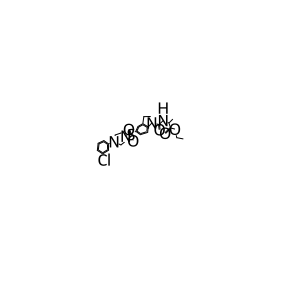 CCOC(=O)C(C)NC(=O)N1CCc2cc(S(=O)(=O)N3CCN(c4cccc(Cl)c4)CC3)ccc21